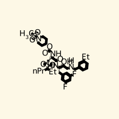 CCCC(CC)S(=O)(=O)C[C@H](NC(=O)OC1CCN(S(C)(=O)=O)CC1)C(=O)N[C@@H](Cc1cc(F)cc(F)c1)[C@H](O)CNCc1cccc(CC)c1